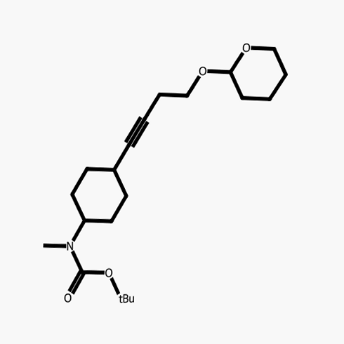 CN(C(=O)OC(C)(C)C)C1CCC(C#CCCOC2CCCCO2)CC1